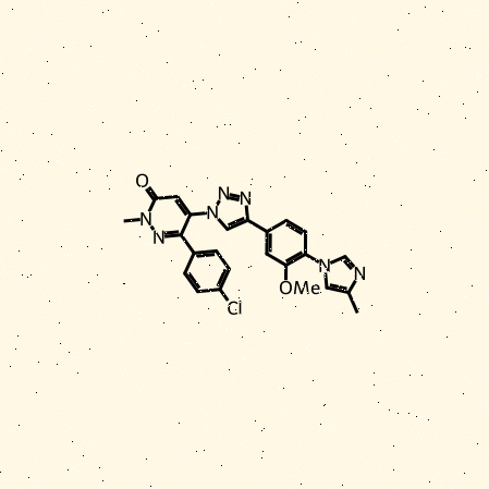 COc1cc(-c2cn(-c3cc(=O)n(C)nc3-c3ccc(Cl)cc3)nn2)ccc1-n1cnc(C)c1